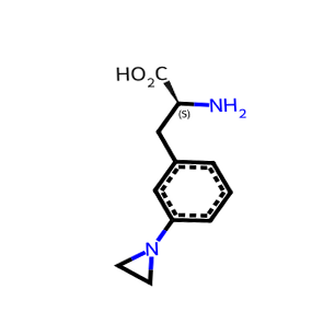 N[C@@H](Cc1cccc(N2CC2)c1)C(=O)O